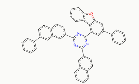 c1ccc(-c2ccc3ccc(-c4nc(-c5ccc6ccccc6c5)nc(-c5cc(-c6ccccc6)cc6oc7ccccc7c56)n4)cc3c2)cc1